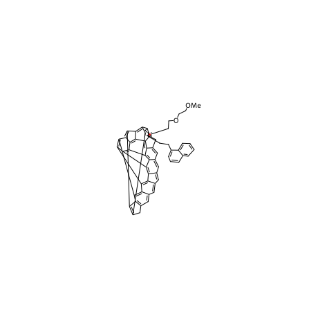 COCCOCCN1CC2C3=c4c5c6c7c(cc8cc9cc%10cc%11cc%12c%13c(c4c4c5c5c7c8c7c9c%10c8c%11c%13c4c8c75)=C(C3)C%12)CC62C1CCc1cccc2ccccc12